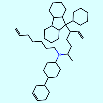 C=CCCCCCN(C(C)CCC(C=C)C1(C2CCCCC2)C2CCCCC2C2CCCCC21)C1CCC(C2CC=CCC2)CC1